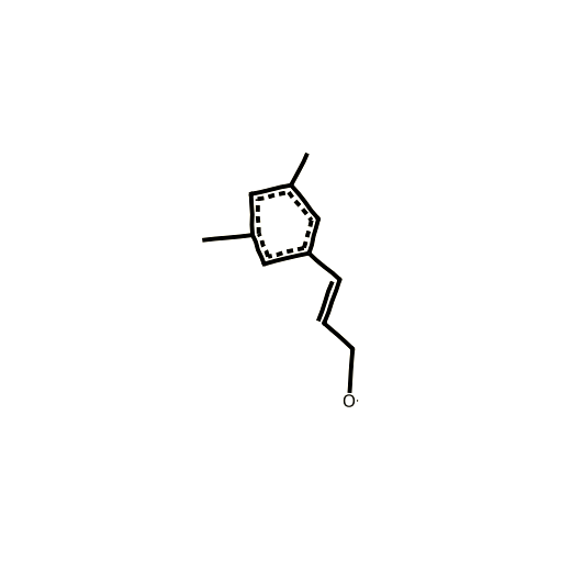 Cc1cc(C)cc(/C=C/C[O])c1